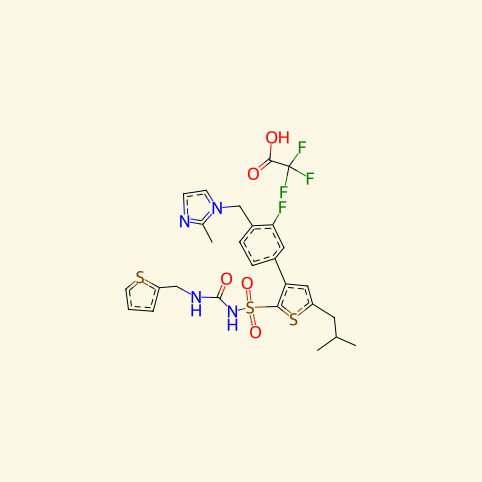 Cc1nccn1Cc1ccc(-c2cc(CC(C)C)sc2S(=O)(=O)NC(=O)NCc2cccs2)cc1F.O=C(O)C(F)(F)F